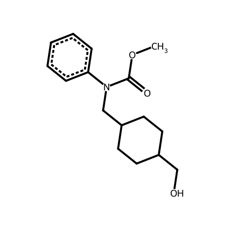 COC(=O)N(CC1CCC(CO)CC1)c1ccccc1